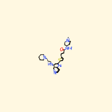 CN1CCC(NC(=O)/C=C/c2ccc(-c3cc(NCCCN4CCCCC4)c4cnccc4n3)s2)CC1